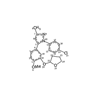 COc1ccc(-c2cc(C)nn2-c2ccc(Cl)cc2)cc1OC1CCCO1